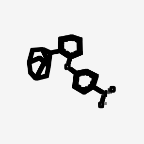 O=[N+]([O-])c1ccc(Oc2ccccc2C2C3CC4CC(C3)CC2C4)cc1